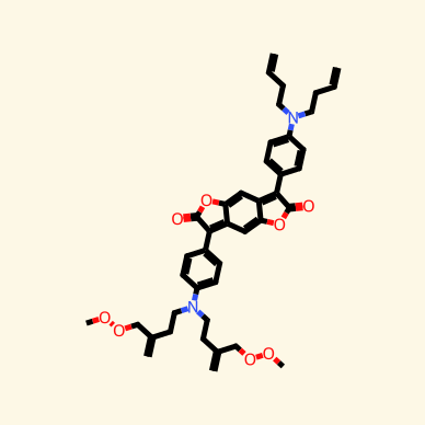 C=CCCN(CCC=C)c1ccc(C2=c3cc4c(cc3OC2=O)=C(c2ccc(N(CCC(=C)COOC)CCC(=C)COOC)cc2)C(=O)O4)cc1